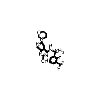 Cc1nc(N[C@H](C)c2cccc(C(F)F)c2F)c2cc(N3CCCOC3)ncc2n1